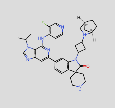 CC(C)n1cnc2cc(-c3ccc4c(c3)N(C3CC(N5C[C@H]6CC[C@@H]5C6)C3)C(=O)C43CCNCC3)nc(Nc3ccncc3F)c21